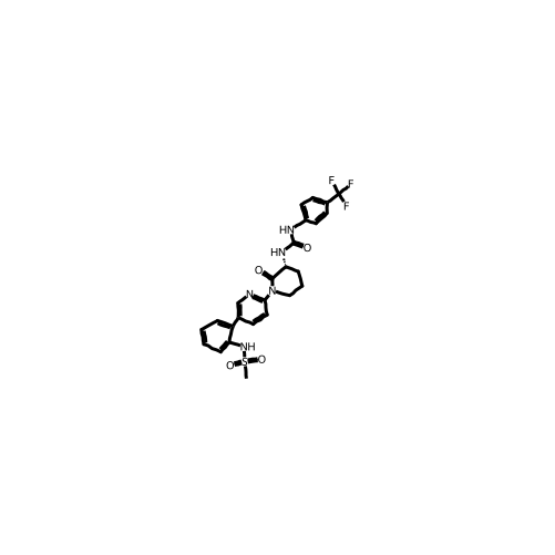 CS(=O)(=O)Nc1ccccc1-c1ccc(N2CCC[C@@H](NC(=O)Nc3ccc(C(F)(F)F)cc3)C2=O)nc1